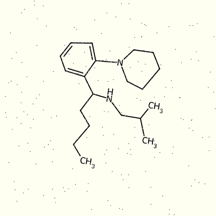 CCCCC(NCC(C)C)c1ccccc1N1CCCCC1